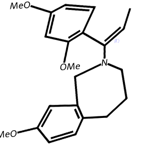 C/C=C(\c1ccc(OC)cc1OC)N1CCCc2ccc(OC)cc2C1